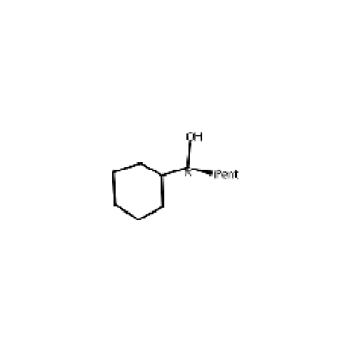 CCCC(C)[C@H](O)C1CCCCC1